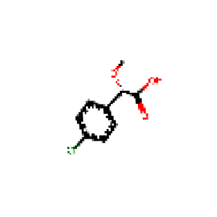 CO[C@H](C(=O)O)c1ccc(Cl)cc1